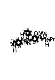 COC1=C(OCC(=O)NC(C)C)CCC(c2nnc(Nc3ccc4[nH]ncc4c3)n2-c2ccccn2)=C1